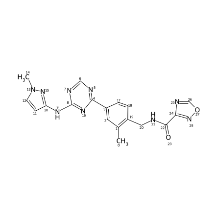 Cc1cc(-c2ncnc(Nc3ccn(C)n3)n2)ccc1CNC(=O)c1ncon1